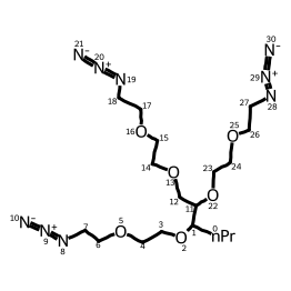 CCCC(OCCOCCN=[N+]=[N-])C(COCCOCCN=[N+]=[N-])OCCOCCN=[N+]=[N-]